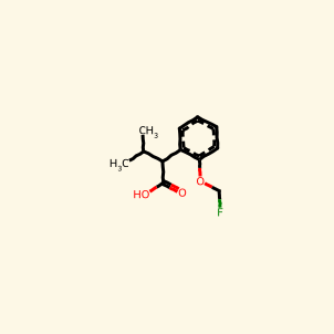 CC(C)C(C(=O)O)c1ccccc1OCF